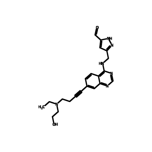 CCN(CCO)CCC#Cc1ccc2c(NCc3cc(C=O)[nH]n3)ncnc2c1